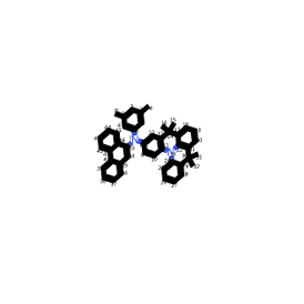 Cc1cc(C)cc(N(c2ccc3c(c2)C(C)(C)c2cccc4c2N3c2ccccc2C4(C)C)c2cc3ccccc3c3ccccc23)c1